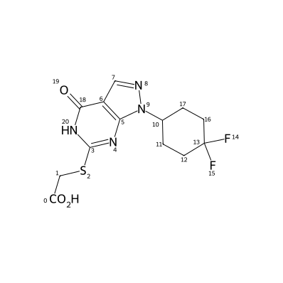 O=C(O)CSc1nc2c(cnn2C2CCC(F)(F)CC2)c(=O)[nH]1